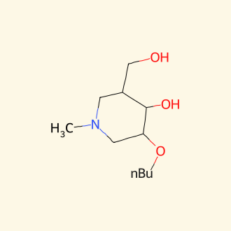 CCCCOC1CN(C)CC(CO)C1O